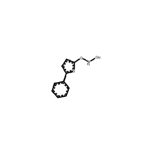 OBOc1ccc(-c2ccccc2)s1